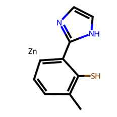 Cc1cccc(-c2ncc[nH]2)c1S.[Zn]